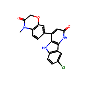 CN1C(=O)COc2cc(-c3cc(=O)[nH]c4c3[nH]c3ccc(Cl)cc34)ccc21